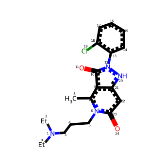 CCN(CC)CCCn1c(C)c2c(=O)n(-c3ccccc3Cl)[nH]c2cc1=O